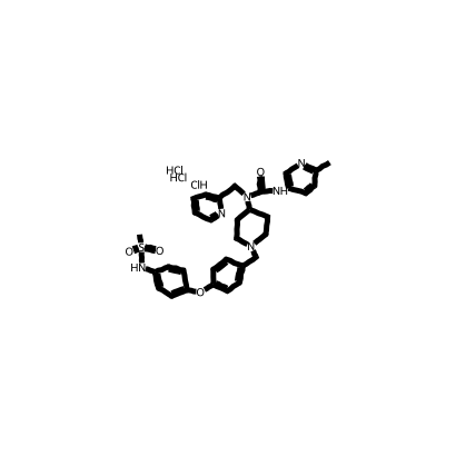 Cc1ccc(NC(=O)N(Cc2ccccn2)C2CCN(Cc3ccc(Oc4ccc(NS(C)(=O)=O)cc4)cc3)CC2)cn1.Cl.Cl.Cl